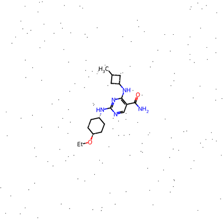 CCO[C@H]1CC[C@H](Nc2ncc(C(N)=O)c(NC3CC(C)C3)n2)CC1